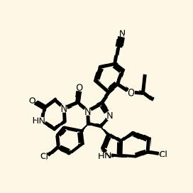 CC(C)Oc1cc(C#N)ccc1C1=N[C@@H](c2c[nH]c3cc(Cl)ccc23)[C@@H](c2ccc(Cl)cc2)N1C(=O)N1CCNC(=O)C1